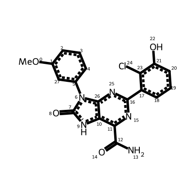 COc1cccc(-n2c(=O)[nH]c3c(C(N)=O)nc(-c4cccc(O)c4Cl)nc32)c1